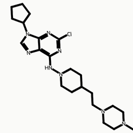 CN1CCN(CCC2CCN(Nc3nc(Cl)nc4c3ncn4C3CCCC3)CC2)CC1